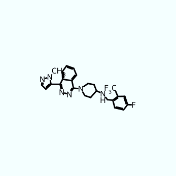 Cn1nccc1-c1nnc(N2CCC(NCc3ccc(F)cc3C(F)(F)F)CC2)c2ccccc12